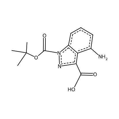 CC(C)(C)OC(=O)n1nc(C(=O)O)c2c(N)cccc21